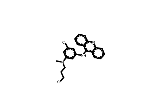 CN(CCCCl)c1cc(Cl)cc(Nc2c3ccccc3nc3ccccc23)c1